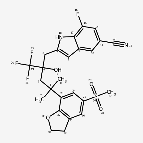 CC(C)(CC(O)(Cc1cc2cc(C#N)cc(F)c2[nH]1)C(F)(F)F)c1cc(S(C)(=O)=O)cc2c1OCC2